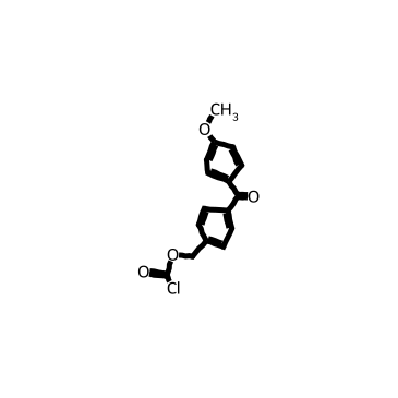 COc1ccc(C(=O)c2ccc(COC(=O)Cl)cc2)cc1